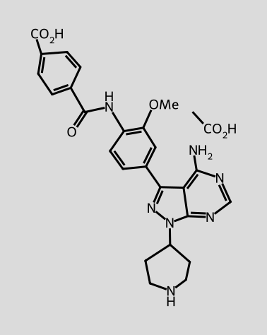 CC(=O)O.COc1cc(-c2nn(C3CCNCC3)c3ncnc(N)c23)ccc1NC(=O)c1ccc(C(=O)O)cc1